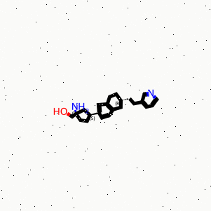 N[C@]1(CO)CC[C@H](c2ccc3c(c2)CC[C@H](CCc2cccnc2)C3)C1